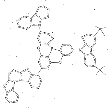 CC(C)(C)c1ccc2c(c1)c1cc(C(C)(C)C)ccc1n2-c1ccc2c(c1)Oc1cc(-c3cccc4c3sc3ccc5sc6ccccc6c5c34)cc3c1B2c1ccc(-n2c4ccccc4c4ccccc42)cc1O3